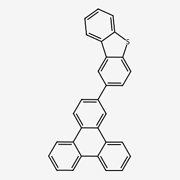 c1ccc2c(c1)sc1ccc(-c3ccc4c5ccccc5c5ccccc5c4c3)cc12